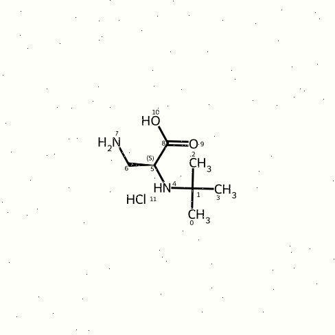 CC(C)(C)N[C@@H](CN)C(=O)O.Cl